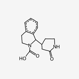 O=C1CC(C2c3ccccc3CCN2C(=O)O)CCN1